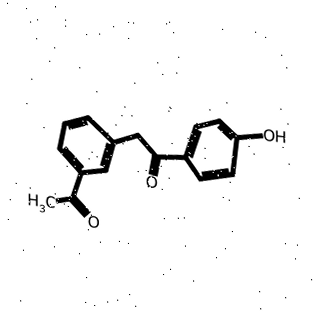 CC(=O)c1cccc(CC(=O)c2ccc(O)cc2)c1